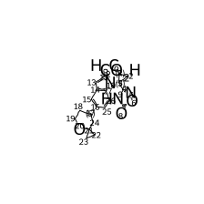 C[C@@H]1C[C@]1(c1noc(=O)[nH]1)n1c(C(=O)O)cc2cc([C@H]3CCOC4(CC4)C3)ccc21